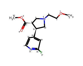 COCCN1C[C@@H](C(=O)OC)[C@H](c2ccnc(F)c2)C1